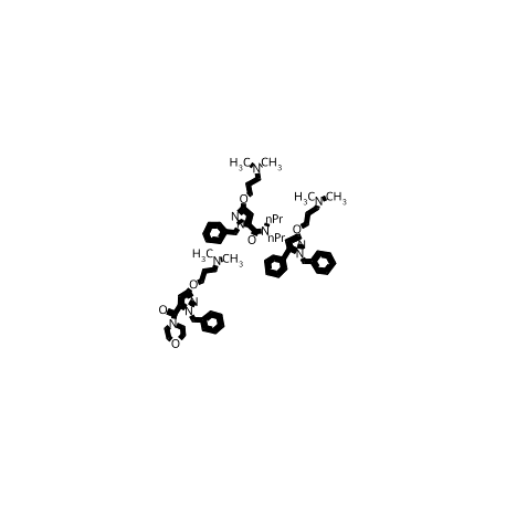 CCCN(CCC)C(=O)c1cc(OCCCN(C)C)nn1Cc1ccccc1.CN(C)CCCOc1cc(-c2ccccc2)n(Cc2ccccc2)n1.CN(C)CCCOc1cc(C(=O)N2CCOCC2)n(Cc2ccccc2)n1